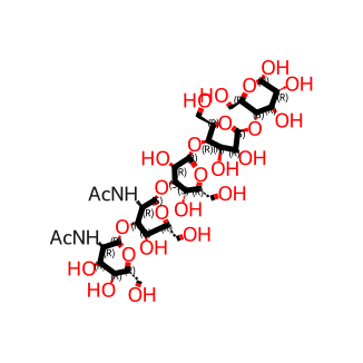 CC(=O)N[C@H]1[C@H](O[C@H]2[C@@H](O)[C@@H](CO)O[C@@H](O[C@H]3[C@@H](O)[C@@H](CO)O[C@H](O[C@@H]4[C@H](O)[C@@H](O)[C@H](O[C@H]5[C@H](O)[C@@H](O)[C@H](O)O[C@@H]5CO)O[C@@H]4CO)[C@@H]3O)[C@@H]2NC(C)=O)O[C@H](CO)[C@H](O)[C@@H]1O